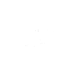 C=CC(Cl)C(=O)C(Cl)C=C